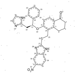 O=C1CCCc2c1ccc(O[C@@H](Cc1ncc[nH]1)c1ccccc1)c2CSc1nc2cc([N+](=O)[O-])ccc2[nH]1